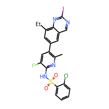 CCc1cc(-c2cc(F)c(NS(=O)(=O)c3ccccc3Cl)nc2C)cc2cnc(I)nc12